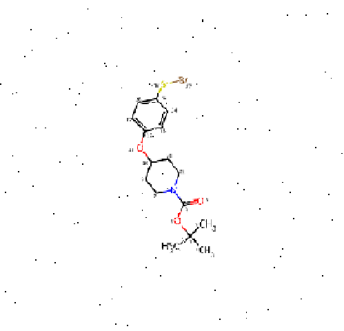 CC(C)(C)OC(=O)N1CCC(Oc2ccc(SBr)cc2)CC1